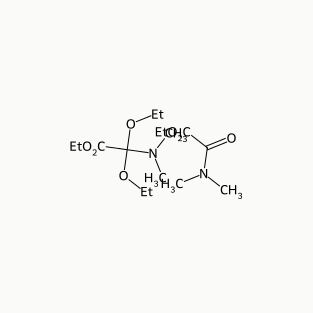 CCOC(=O)C(=O)N(C)C.CCOC(=O)C(OCC)(OCC)N(C)C